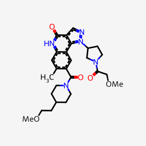 COCCC1CCN(C(=O)c2cc3c(cc2C)[nH]c(=O)c2cnn(C4CCN(C(=O)COC)C4)c23)CC1